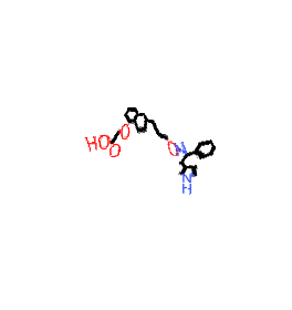 O=C(O)COc1cccc2c1CCC(/C=C/CO/N=C(\Cc1cc[nH]c1)c1ccccc1)C2